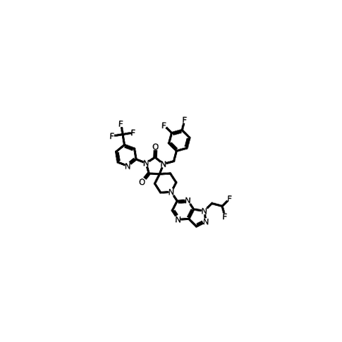 O=C1N(c2cc(C(F)(F)F)ccn2)C(=O)C2(CCN(c3cnc4cnn(CC(F)F)c4n3)CC2)N1Cc1ccc(F)c(F)c1